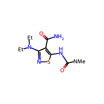 CCN(CC)c1nsc(NC(=O)NC)c1C(N)=O